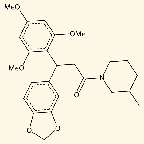 COc1cc(OC)c(C(CC(=O)N2CCCC(C)C2)c2ccc3c(c2)OCO3)c(OC)c1